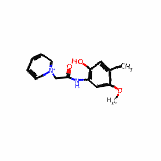 COc1cc(NC(=O)C[n+]2ccccc2)c(O)cc1C